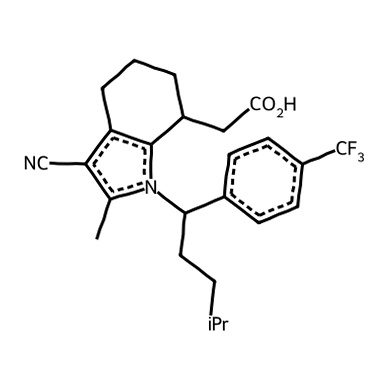 Cc1c(C#N)c2c(n1C(CCC(C)C)c1ccc(C(F)(F)F)cc1)C(CC(=O)O)CCC2